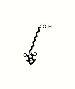 CC12C=CC(C)(O1)C1C(=O)N(CCCCCCCCCCCC(=O)O)C(=O)C12